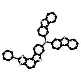 c1ccc(-c2nc3c(ccc4oc5cc(N(c6ccc7c(c6)sc6ccccc67)c6ccc7oc8ccccc8c7c6)ccc5c43)s2)cc1